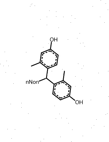 CCCCCCCCCC(c1ccc(O)cc1C)c1ccc(O)cc1C